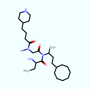 CCN(CC(=O)N(C(=O)C(N)CC(=O)O)C(CCC1CCCCCCC1)C(=O)O)C(=O)CCCC1CCNCC1